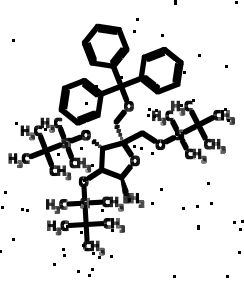 B[C@@H]1O[C@](COC(c2ccccc2)(c2ccccc2)c2ccccc2)(CO[Si](C)(C)C(C)(C)C)[C@@H](O[Si](C)(C)C(C)(C)C)C1O[Si](C)(C)C(C)(C)C